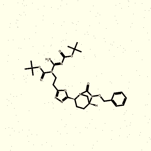 CC(C)(C)OC(=O)N=C(N)N(CCc1nnc([C@@H]2CC[C@@H]3CN2C(=O)N3OCc2ccccc2)o1)C(=O)OC(C)(C)C